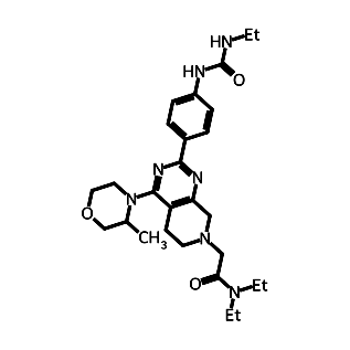 CCNC(=O)Nc1ccc(-c2nc3c(c(N4CCOCC4C)n2)CCN(CC(=O)N(CC)CC)C3)cc1